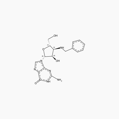 Nc1nc2c(ncn2[C@@H]2O[C@H](CO)[C@@H](NCc3ccccc3)[C@H]2O)c(=O)[nH]1